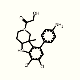 CC12CN(C(=O)CO)CCC1Nc1c(Cl)c(Cl)cc(-c3ccc(N)cc3)c12